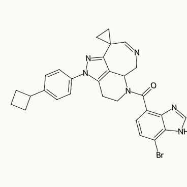 O=C(c1ccc(Br)c2[nH]cnc12)N1CCc2c3c(nn2-c2ccc(C4CCC4)cc2)C2(C=NCC31)CC2